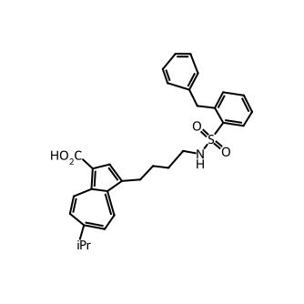 CC(C)c1ccc2c(CCCCNS(=O)(=O)c3ccccc3Cc3ccccc3)cc(C(=O)O)c-2cc1